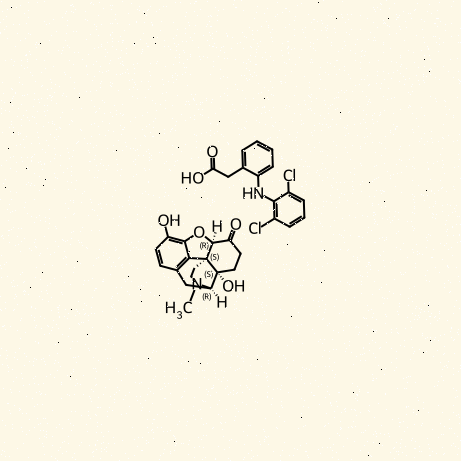 CN1CC[C@]23c4c5ccc(O)c4O[C@H]2C(=O)CC[C@@]3(O)[C@H]1C5.O=C(O)Cc1ccccc1Nc1c(Cl)cccc1Cl